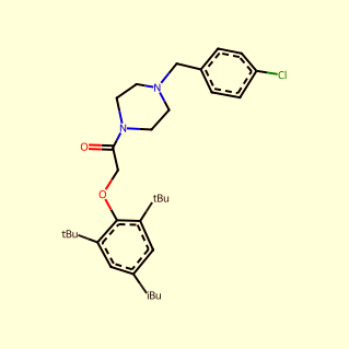 CCC(C)c1cc(C(C)(C)C)c(OCC(=O)N2CCN(Cc3ccc(Cl)cc3)CC2)c(C(C)(C)C)c1